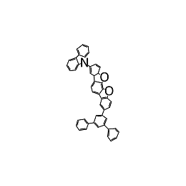 C1=CC2Oc3c(ccc4c3oc3ccc(-c5cc(-c6ccccc6)cc(-c6ccccc6)c5)cc34)C2C=C1n1c2ccccc2c2ccccc21